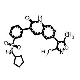 Cc1noc(C)c1-c1ccc2[nH]c(=O)c(-c3cccc(S(=O)(=O)NC4CCCC4)c3)cc2c1